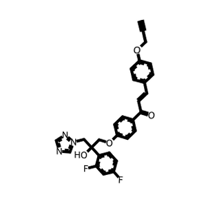 C#CCOc1ccc(C=CC(=O)c2ccc(OCC(O)(Cn3cncn3)c3ccc(F)cc3F)cc2)cc1